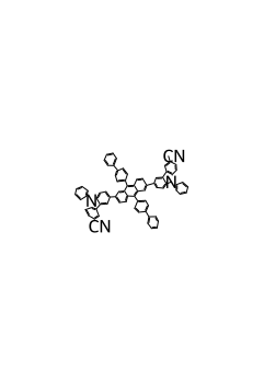 N#Cc1ccc2c(c1)c1cc(-c3ccc4c(-c5ccc(-c6ccccc6)cc5)c5cc(-c6ccc7c(c6)c6cc(C#N)ccc6n7-c6ccccc6)ccc5c(-c5ccc(-c6ccccc6)cc5)c4c3)ccc1n2-c1ccccc1